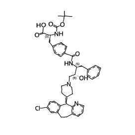 CC(C)(C)OC(=O)N[C@@H](Cc1ccc(C(=O)N[C@@H](Cc2ccccc2)[C@H](O)CN2CCC(=C3c4ccc(Cl)cc4CCc4cccnc43)CC2)cc1)C(=O)O